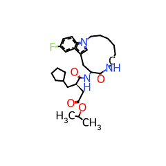 CC(C)OC(=O)C[C@@H](CC1CCCC1)C(=O)N[C@H]1Cc2cn(c3ccc(F)cc23)CCCCCCNC1=O